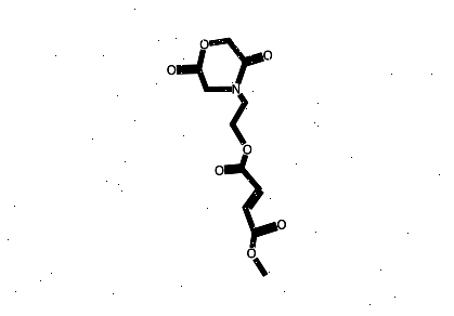 COC(=O)C=CC(=O)OCCN1CC(=O)OCC1=O